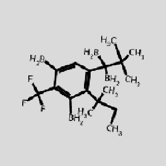 Bc1cc(C(B)(B)C(C)(C)C)c(C(C)(C)CC)c(B)c1C(F)(F)F